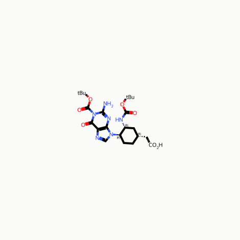 CC(C)(C)OC(=O)N[C@@H]1C[C@H](CC(=O)O)CC[C@H]1n1cnc2c(=O)n(C(=O)OC(C)(C)C)c(N)nc21